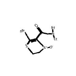 CCCC1=C(C(=O)N(CC)CC)[S+]([O-])CCS1